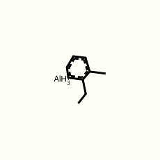 CCc1[c]cccc1C.[AlH3]